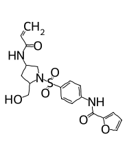 C=CC(=O)NC1CC(CO)N(S(=O)(=O)c2ccc(NC(=O)c3ccco3)cc2)C1